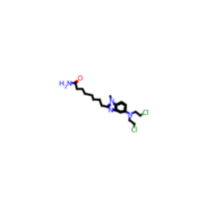 Cn1c(CCCCCCCC(N)=O)nc2cc(N(CCCl)CCCl)ccc21